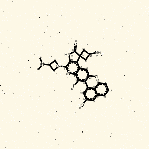 CN(C)C1CN(c2nc3c(F)c(-c4cc(O)cc5ccccc45)c(Cl)cc3c3c2NC(=O)C32CC(N)C2)C1